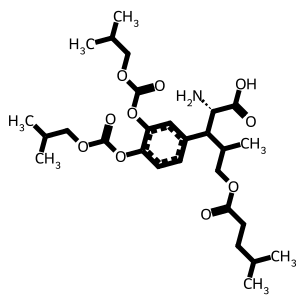 CC(C)CCC(=O)OCC(C)C(c1ccc(OC(=O)OCC(C)C)c(OC(=O)OCC(C)C)c1)[C@H](N)C(=O)O